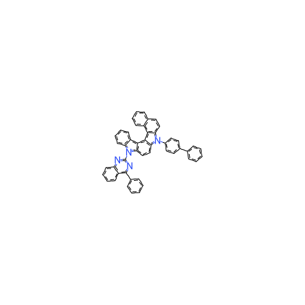 c1ccc(-c2ccc(-n3c4ccc5ccccc5c4c4c5c6ccccc6n(-c6nc(-c7ccccc7)c7ccccc7n6)c5ccc43)cc2)cc1